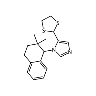 CC1(C)CCc2ccccc2C1n1cncc1C1SCCS1